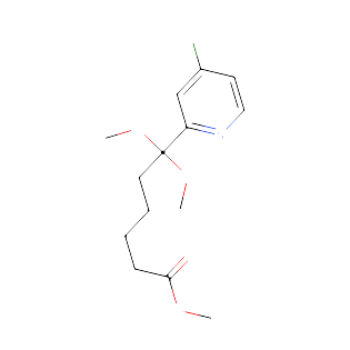 COC(=O)[C@H](C)CCCC(OC)(OC)c1cc(Cl)ccn1